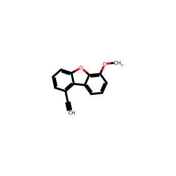 C#Cc1cccc2oc3c(OC)cccc3c12